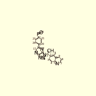 CC(c1ccc2ncccc2c1)n1nnc2ncc(-c3ccc(P=O)cc3)nc21